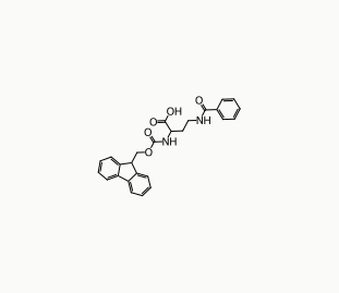 O=C(NC(CCNC(=O)c1ccccc1)C(=O)O)OCC1c2ccccc2-c2ccccc21